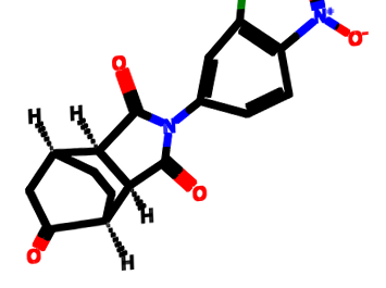 O=C1C[C@@H]2CC[C@H]1[C@@H]1C(=O)N(c3ccc([N+](=O)[O-])c(Cl)c3)C(=O)[C@H]21